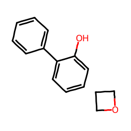 C1COC1.Oc1ccccc1-c1ccccc1